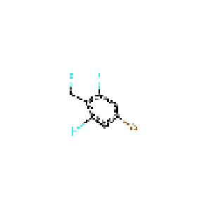 FCc1c(F)cc(Br)cc1F